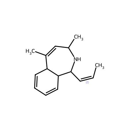 C/C=C\C1NC(C)C=C(C)C2C=CC=CC12